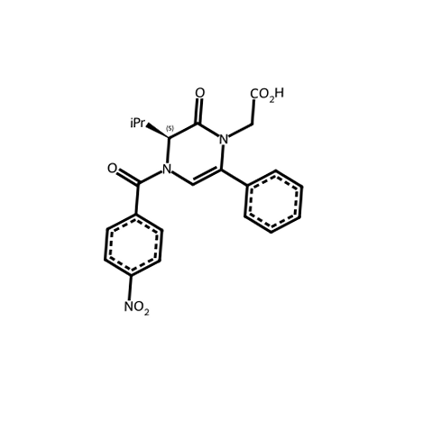 CC(C)[C@H]1C(=O)N(CC(=O)O)C(c2ccccc2)=CN1C(=O)c1ccc([N+](=O)[O-])cc1